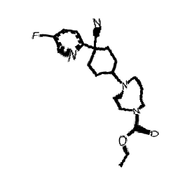 CCOC(=O)N1CCCN(C2CCC(C#N)(c3ccc(F)cn3)CC2)CC1